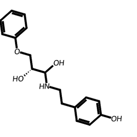 Oc1ccc(CCNC(O)[C@H](O)COc2ccccc2)cc1